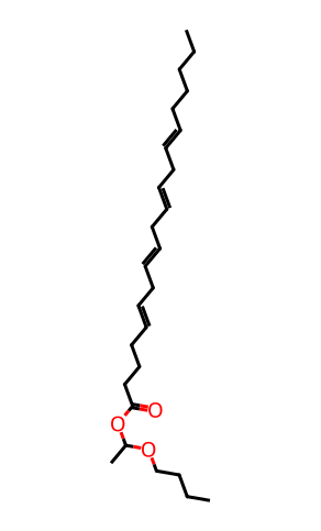 CCCCCC=CCC=CCC=CCC=CCCCC(=O)OC(C)OCCCC